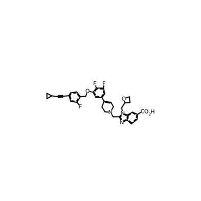 O=C(O)c1ccc2nc(CN3CC=C(c4cc(F)c(F)c(OCc5ccc(C#CC6CC6)cc5F)c4)CC3)n(CC3CCO3)c2c1